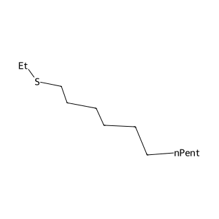 [CH2]CCCCCCCCCCSCC